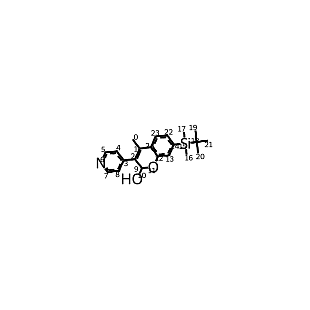 CC1=C(c2ccncc2)C(O)Oc2cc([Si](C)(C)C(C)(C)C)ccc21